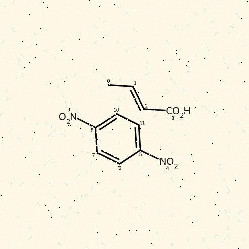 C/C=C/C(=O)O.O=[N+]([O-])c1ccc([N+](=O)[O-])cc1